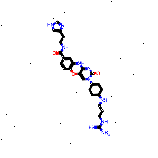 N=C(N)NCCCNC1CCC(n2cc3c(nc2=O)Nc2cc(C(=O)NCCc4c[nH]cn4)ccc2O3)CC1